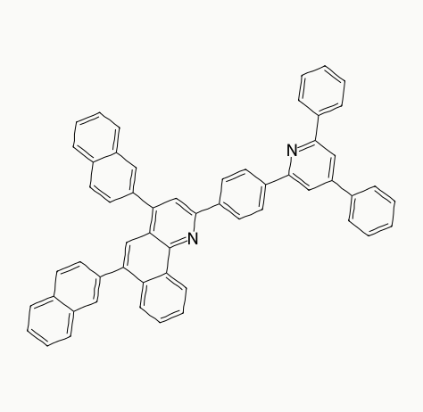 c1ccc(-c2cc(-c3ccccc3)nc(-c3ccc(-c4cc(-c5ccc6ccccc6c5)c5cc(-c6ccc7ccccc7c6)c6ccccc6c5n4)cc3)c2)cc1